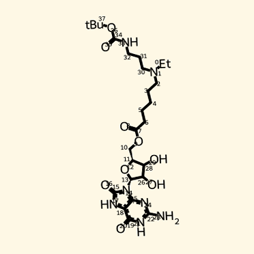 CCN(CCCCCC(=O)OC[C@@H]1O[C@H](n2c(=O)[nH]c3c(=O)[nH]c(N)nc32)C(O)C1O)CCCNC(=O)OC(C)(C)C